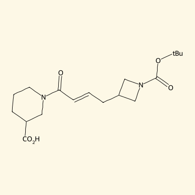 CC(C)(C)OC(=O)N1CC(CC=CC(=O)N2CCCC(C(=O)O)C2)C1